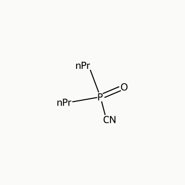 CCCP(=O)(C#N)CCC